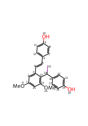 COc1cc(/C=C/c2ccc(O)cc2)c(C(I)c2ccc(O)cc2)c(OC)c1